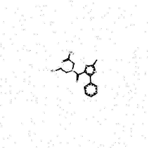 Cc1nc(C(=O)N(CCC(C)(C)C)CC(N)=O)c(-c2ccccc2)s1